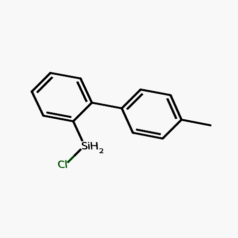 Cc1ccc(-c2ccccc2[SiH2]Cl)cc1